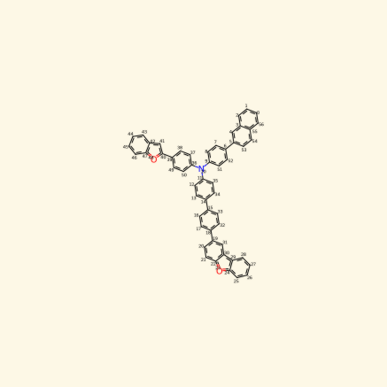 c1ccc2cc(-c3ccc(N(c4ccc(-c5ccc(-c6ccc7oc8ccccc8c7c6)cc5)cc4)c4ccc(-c5cc6ccccc6o5)cc4)cc3)ccc2c1